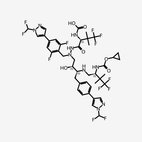 CC(C)([C@H](NC(=O)O)C(=O)NN(Cc1c(F)cc(-c2cnn(C(F)F)c2)cc1F)C[C@H](O)[C@H](Cc1ccc(-c2cnn(C(F)F)c2)cc1)NC[C@@H](NC(=O)OC1CC1)C(C)(C)C(F)(F)F)C(F)(F)F